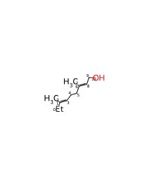 CC/C(C)=C/CC/C(C)=C/CO